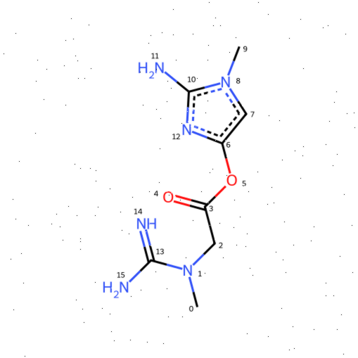 CN(CC(=O)Oc1cn(C)c(N)n1)C(=N)N